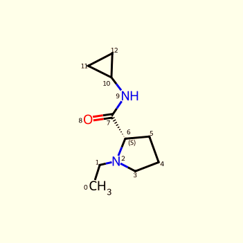 CCN1CCC[C@H]1C(=O)NC1CC1